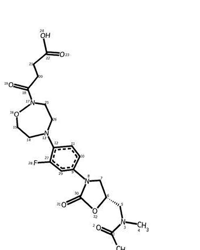 CC(=O)N(C)C[C@H]1CN(c2ccc(N3CCON(C(=O)CCC(=O)O)CC3)c(F)c2)C(=O)O1